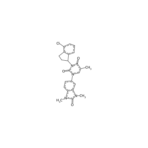 Cc1cn(-c2ccc3c(c2)n(C)c(=O)n3C)c(=O)n(C2CCc3c(Cl)cccc32)c1=O